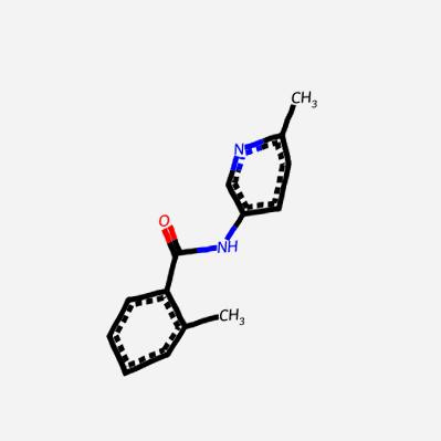 Cc1ccc(NC(=O)c2ccccc2C)cn1